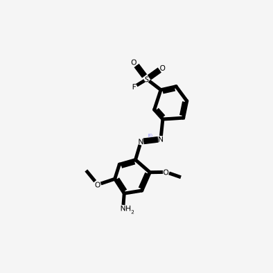 COc1cc(/N=N/c2cccc(S(=O)(=O)F)c2)c(OC)cc1N